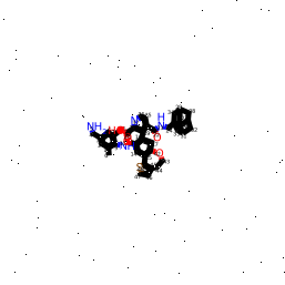 Cc1cc(CN)cc(C)c1NC(=O)c1cc2c(cc1-c1c(C(=O)NCC34CC5CC(CC(C5)C3)C4)ccnc1C(=O)O)OCCc1ccsc1-2